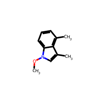 COn1[c]c(C)c2c(C)cccc21